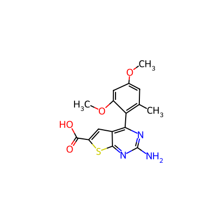 COc1cc(C)c(-c2nc(N)nc3sc(C(=O)O)cc23)c(OC)c1